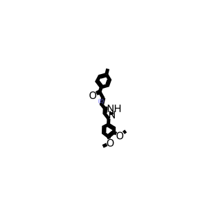 COc1ccc(-c2cc(/C=C/C(=O)c3ccc(C)cc3)[nH]n2)cc1OC